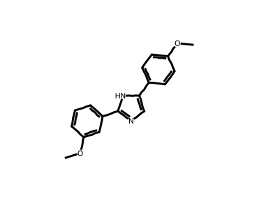 COc1ccc(-c2cnc(-c3cccc(OC)c3)[nH]2)cc1